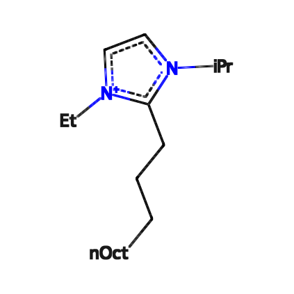 CCCCCCCCCCCc1n(C(C)C)cc[n+]1CC